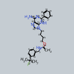 C=C(NCc1cccc(C(C)(C)F)c1)OCCCCn1cnc2c1NC(c1ccccc1)N=C2N